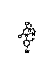 O=c1cc(C(F)(F)F)n2ccnc2n1-c1ccc(Br)cc1F